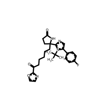 CC(C)(C)n1c(-c2ccc(F)cc2)cnc1C1(CCCCCC(=O)c2ncco2)CCC(=O)N1